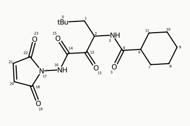 CC(C)(C)CC(NC(=O)C1CCCCC1)C(=O)C(=O)NN1C(=O)C=CC1=O